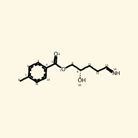 Cc1ccc(C(=O)OC[C@@H](O)CCC=N)cc1